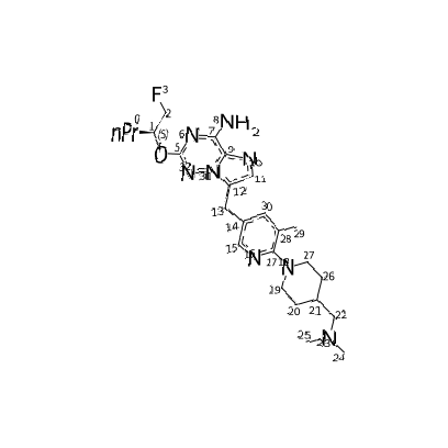 CCC[C@@H](CF)Oc1nc(N)c2ncc(Cc3cnc(N4CCC(CN(C)C)CC4)c(C)c3)n2n1